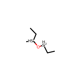 CC[SiH2]O[SiH](C)CC